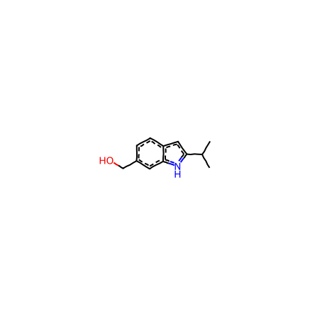 CC(C)c1cc2ccc(CO)cc2[nH]1